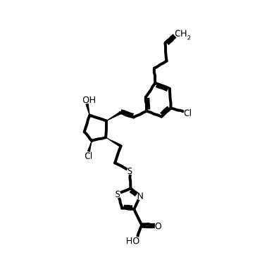 C=CCCc1cc(Cl)cc(C=C[C@H]2[C@@H](CCSc3nc(C(=O)O)cs3)[C@@H](Cl)C[C@H]2O)c1